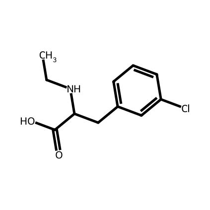 CCNC(Cc1cccc(Cl)c1)C(=O)O